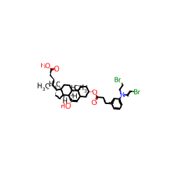 C[C@H](CCC(=O)O)[C@H]1CC[C@H]2[C@@H]3[C@@H](O)CC4C[C@@H](OC(=O)CCc5cccc(N(CCBr)CCBr)c5)CC[C@]4(C)[C@H]3CC[C@]12C